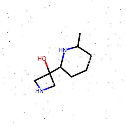 CC1CCCC(C2(O)CNC2)N1